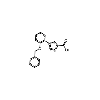 O=C(O)c1cn(-c2ccccc2OCc2ccccc2)nn1